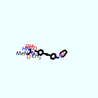 CNC(=O)C(C(=O)NO)N(C)C(=O)c1ccc(C#Cc2ccc(CN3CC4CCC(C3)O4)cc2)cc1